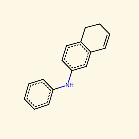 C1=Cc2cc(Nc3ccccc3)ccc2CC1